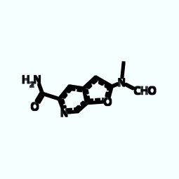 CN(C=O)c1cc2cc(C(N)=O)ncc2o1